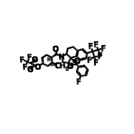 C[C@H]1CC(OS(=O)(=O)C(F)(F)F)=CC[C@H]1C(=O)N1CCC2(S(=O)(=O)c3cccc(F)c3)c3ccc(C(F)(C(F)(F)F)C(F)(F)F)cc3CCC12